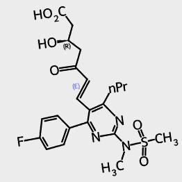 CCCc1nc(N(C)S(C)(=O)=O)nc(-c2ccc(F)cc2)c1/C=C/C(=O)C[C@@H](O)CC(=O)O